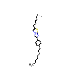 CCCCCCCCc1ccc(-c2cn3cc(CCCCCC)sc3n2)cc1